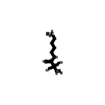 CCCCCOC(=O)C(C)(F)F